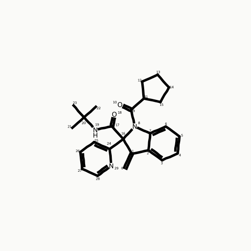 C=C1c2ccccc2N(C(=O)C2CCCC2)C1(C(=O)NC(C)(C)C)c1ccccn1